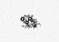 Cc1cccc(C)c1Oc1ncc(C(C)(C)O)cc1-c1cn(C)c(=O)c2[nH]c(C(=O)NC3(C)CC3(F)F)cc12